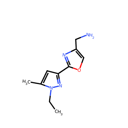 CCn1nc(-c2nc(CN)co2)cc1C